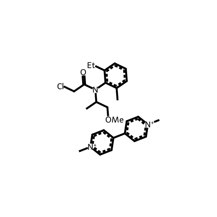 CCc1cccc(C)c1N(C(=O)CCl)C(C)COC.C[n+]1ccc(-c2cc[n+](C)cc2)cc1